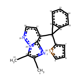 Cc1nc2c(C3(c4cccs4)c4ccccc43)ccnn2c1C